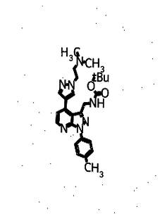 Cc1ccc(-n2nc(CNC(=O)OC(C)(C)C)c3c(-c4cnn(CCN(C)C)c4)ccnc32)cc1